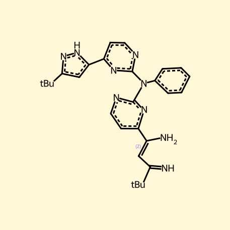 CC(C)(C)C(=N)/C=C(\N)c1ccnc(N(c2ccccc2)c2nccc(-c3cc(C(C)(C)C)n[nH]3)n2)n1